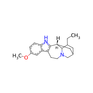 CCC1CC2C[C@H]3c4[nH]c5ccc(OC)cc5c4CCN(C2)C13